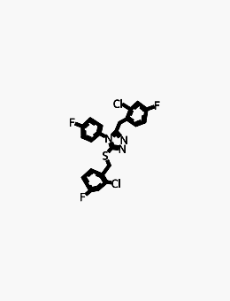 Fc1ccc(-n2c(Cc3ccc(F)cc3Cl)nnc2SCc2ccc(F)cc2Cl)cc1